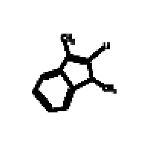 [Li][C]1=C(C)c2ccccc2C1C